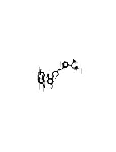 COc1ccc(C(=O)N(CC(F)(F)F)c2cc(C(F)(F)F)ccn2)c(N2CCC(COc3cc(C(CC(=O)O)C4CC4)ccn3)CC2)c1